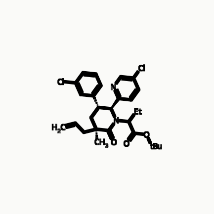 C=CC[C@@]1(C)C[C@H](c2cccc(Cl)c2)[C@@H](c2ccc(Cl)cn2)N(C(CC)C(=O)OC(C)(C)C)C1=O